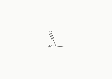 [Ag+].[C-]#CCC